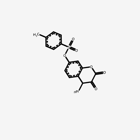 CCCC1C(=O)C(=O)Oc2cc(OS(=O)(=O)c3ccc(C)cc3)ccc21